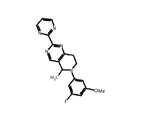 COc1cc(F)cc(N2CCc3nc(-c4ncccn4)ncc3C2C)c1